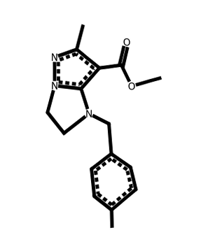 COC(=O)c1c(C)nn2c1N(Cc1ccc(C)cc1)CC2